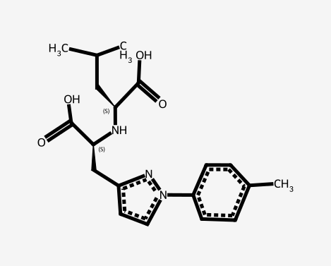 Cc1ccc(-n2ccc(C[C@H](N[C@@H](CC(C)C)C(=O)O)C(=O)O)n2)cc1